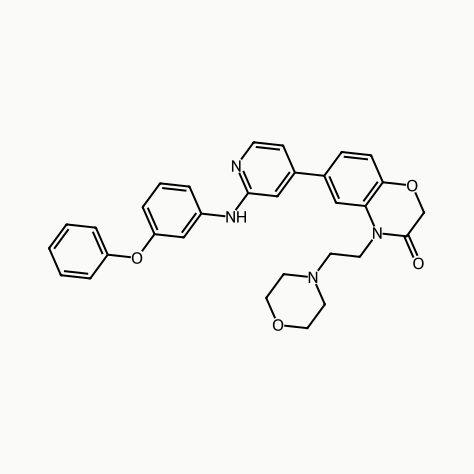 O=C1COc2ccc(-c3ccnc(Nc4cccc(Oc5ccccc5)c4)c3)cc2N1CCN1CCOCC1